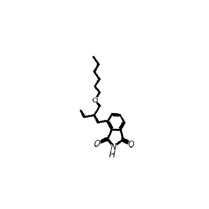 CCCCCCOCC(CC)Cc1cccc2c1C(=O)NC2=O